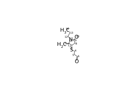 C=C1C(SCCC=O)CC(=O)N1CCC